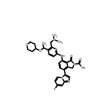 CC(OC1CCOCC1)c1ccc(Nc2ccc(-c3cnc4cc(F)ccn34)c3c2C(=O)N(C(=O)O)C3)nc1CN(C)C